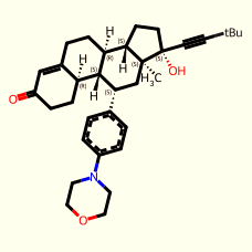 CC(C)(C)C#C[C@]1(O)CC[C@H]2[C@@H]3CCC4=CC(=O)CC[C@@H]4[C@H]3[C@@H](c3ccc(N4CCOCC4)cc3)C[C@@]21C